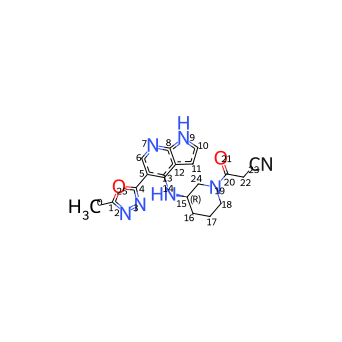 Cc1nnc(-c2cnc3[nH]ccc3c2N[C@@H]2CCCN(C(=O)CC#N)C2)o1